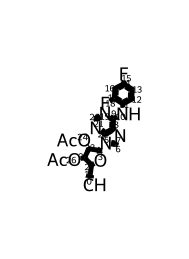 C#CC1OC(n2cnc3c(Nc4ccc(F)cc4F)ncnc32)C(OC(C)=O)C1OC(C)=O